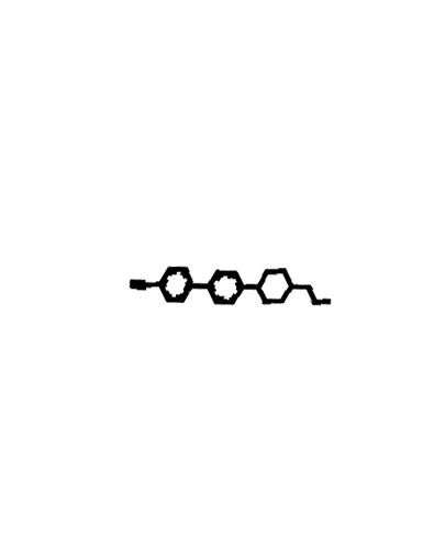 C#Cc1ccc(-c2ccc(C3CCC(CCC)CC3)cc2)cc1